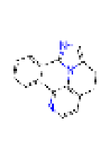 c1ccc2c(c1)c1nccc3c1n1c(cnc21)CC3